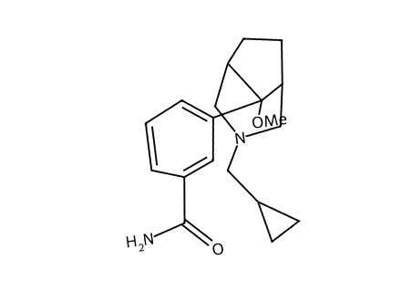 COC1(c2cccc(C(N)=O)c2)C2CCC1CN(CC1CC1)C2